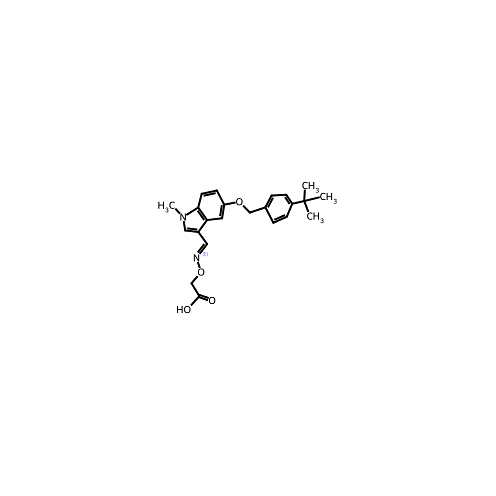 Cn1cc(/C=N/OCC(=O)O)c2cc(OCc3ccc(C(C)(C)C)cc3)ccc21